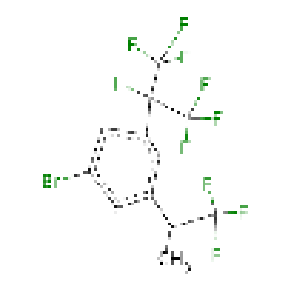 CC(c1[c]c(Br)cc(C(F)(C(F)(F)F)C(F)(F)F)c1)C(F)(F)F